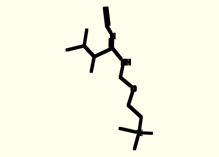 C=C/N=C(/NCOCC[Si](C)(C)C)C(C)C(C)C